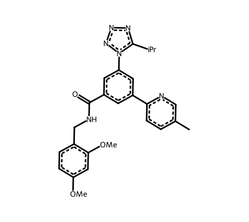 COc1ccc(CNC(=O)c2cc(-c3ccc(C)cn3)cc(-n3nnnc3C(C)C)c2)c(OC)c1